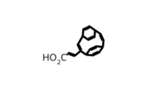 O=C(O)C=C/C1=C/C2C=CC(C=C2)/C=C\C2C=CC1C=C2